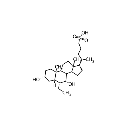 CC[C@H]1[C@@H](O)C2C3CC[C@H]([C@H](C)CCCS(=O)(=O)O)[C@@]3(C)CCC2[C@@]2(C)CC[C@@H](O)C[C@@H]12